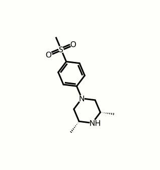 C[C@@H]1CN(c2ccc(S(C)(=O)=O)cc2)C[C@H](C)N1